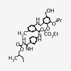 CCOC(=O)COc1c(CNc2ccc(C)cc2C(=O)Nc2ccc(C(=N)NC(=O)OCC(C)CI)cc2)cc(CO)cc1OC(C)C